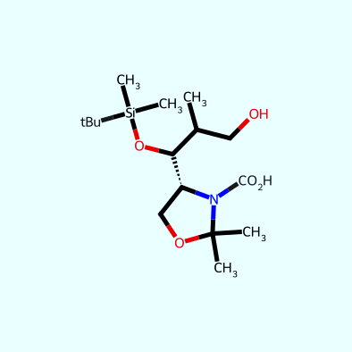 CC(CO)C(O[Si](C)(C)C(C)(C)C)[C@H]1COC(C)(C)N1C(=O)O